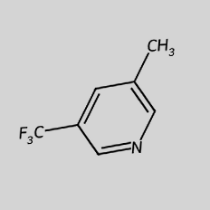 Cc1cncc(C(F)(F)F)c1